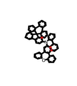 c1ccc(-c2ccccc2N(c2ccc3c(c2)-c2ccccc2Oc2ccccc2-3)c2ccc3c(c2)C2(c4ccccc4-c4ccccc4-c4ccccc42)c2ccccc2-3)cc1